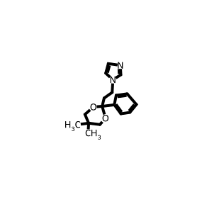 CC1(C)COC(CCn2ccnc2)(c2ccccc2)OC1